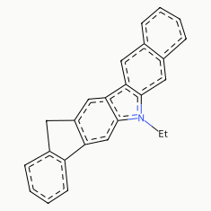 CCn1c2cc3c(cc2c2cc4ccccc4cc21)Cc1ccccc1-3